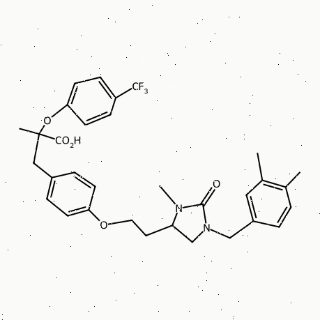 Cc1ccc(CN2CC(CCOc3ccc(CC(C)(Oc4ccc(C(F)(F)F)cc4)C(=O)O)cc3)N(C)C2=O)cc1C